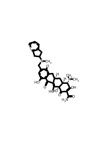 CN(Cc1cc(O)c2c(c1Cl)C[C@H]1C[C@H]3[C@H](N(C)C)C(O)=C(C(N)=O)C(=O)[C@@]3(O)C(O)=C1C2=O)C1Cc2ccccc2C1